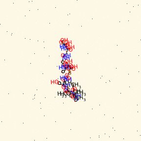 CCCC(=O)OCN(C(=O)[C@@H](NC(=O)[C@H]1CCCCN1C)C(C)CC)[C@H](C[C@@H](OC(C)=O)c1nc(C(=O)N[C@@H](Cc2ccc(O)cc2)C[C@H](C)C(=O)NNC(=O)OCCSSC[C@H](NC(=O)[C@H](CC(=O)O)NC(=O)[C@H](Cc2ccccc2)NC(=O)Cc2ccc(CNC(=O)NCCCC[C@H](NC(=O)N[C@@H](CCC(=O)O)C(=O)O)C(=O)O)cc2)C(=O)O)cs1)C(C)C